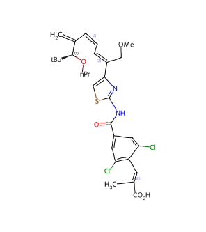 C=C(/C=C\C=C(/COC)c1csc(NC(=O)c2cc(Cl)c(/C=C(\C)C(=O)O)c(Cl)c2)n1)[C@@H](OCCC)C(C)(C)C